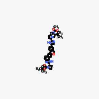 COC(=O)N[C@H](CN1[C@@H](C)CC[C@H]1c1ncc(-c2ccc3c(c2)COc2cc4c(ccc5nc([C@@H]6CCCN6C(=O)OC(C)(C)C)[nH]c54)cc2-3)[nH]1)C(C)C